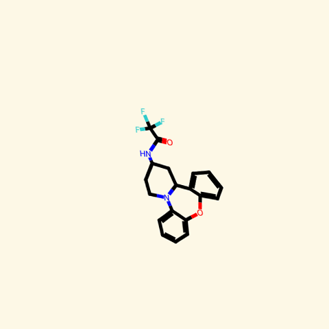 O=C(NC1CCN2c3ccccc3Oc3ccccc3C2C1)C(F)(F)F